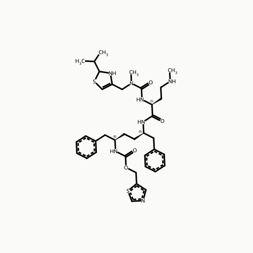 CNCC[C@H](NC(=O)N(C)CC1=CSC(C(C)C)N1)C(=O)N[C@H](CC[C@H](Cc1ccccc1)NC(=O)OCc1cncs1)Cc1ccccc1